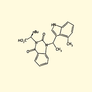 CCCC[C@H](C(=O)O)n1c(=O)c2ccccc2n(C(C)c2c[nH]c3cccc(C)c23)c1=O